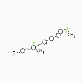 CCCc1ccc(CCc2cc(C)c(C#Cc3ccc(-c4ccc(-c5ccc6cc(CC(F)(F)CC)ccc6c5)cc4)cc3)c(F)c2)cc1